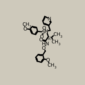 COc1ccc(S(=O)(=O)N(Cc2cccnc2)[C@@H](C(=O)NOCc2ccccc2OC)C(C)C)cc1